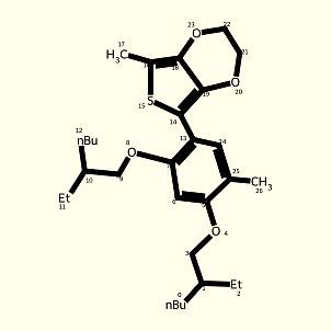 CCCCC(CC)COc1cc(OCC(CC)CCCC)c(-c2sc(C)c3c2OCCO3)cc1C